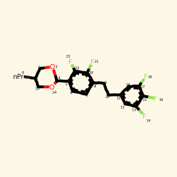 CCCC1COC(c2ccc(CCc3cc(F)c(F)c(F)c3)c(F)c2F)OC1